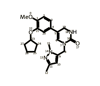 COc1ccc(C2=CN(Cc3cc(C)nn3C)C(=O)NC2)cc1OC1CCCC1